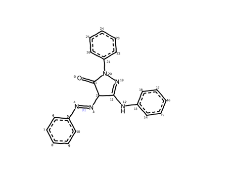 O=C1C(/N=N/c2ccccc2)C(Nc2ccccc2)=NN1c1ccccc1